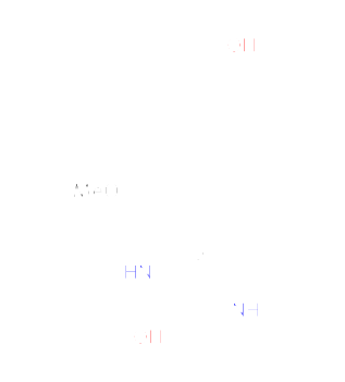 COc1cc(O)ccc1C(=N)NO